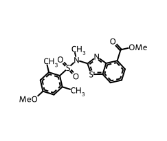 COC(=O)c1cccc2sc(N(C)S(=O)(=O)c3c(C)cc(OC)cc3C)nc12